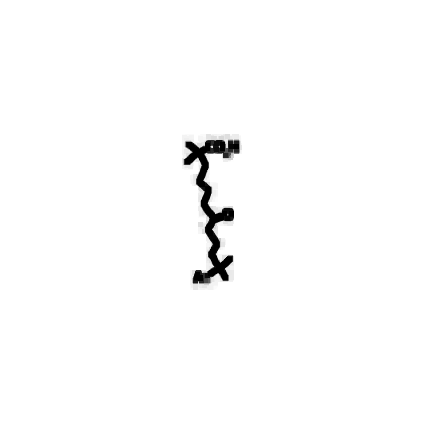 CC(=O)C(C)(C)CCCC(=O)CCCCC(C)(C)C(=O)O